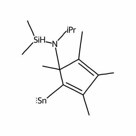 CC1=C(C)C(C)(N(C(C)C)[SiH](C)C)[C]([Sn])=C1C